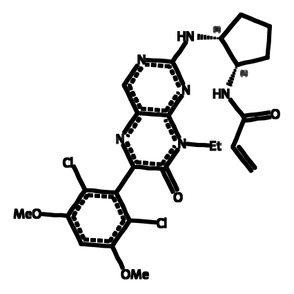 C=CC(=O)N[C@H]1CCC[C@H]1Nc1ncc2nc(-c3c(Cl)c(OC)cc(OC)c3Cl)c(=O)n(CC)c2n1